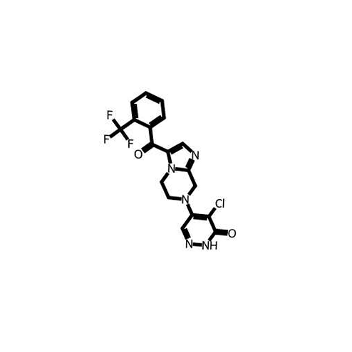 O=C(c1ccccc1C(F)(F)F)c1cnc2n1CCN(c1cn[nH]c(=O)c1Cl)C2